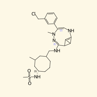 CC1CC(CN/C2=N/N(C)/C(c3cccc(CCl)c3)=C\NC3=C4C3C42)CCC[C@H](NS(C)(=O)=O)C1